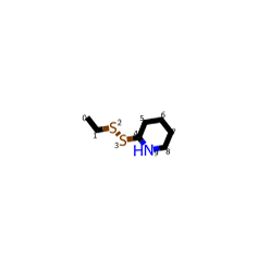 CCSSC1CCCCN1